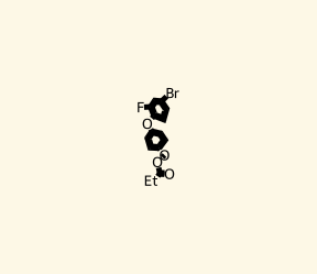 CCC(=O)OOc1ccc(Oc2ccc(Br)cc2F)cc1